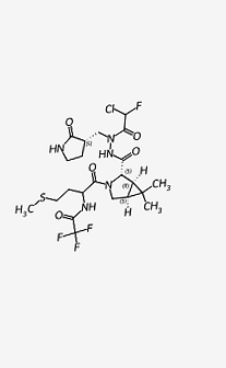 CSCCC(NC(=O)C(F)(F)F)C(=O)N1C[C@H]2[C@@H]([C@H]1C(=O)NN(C[C@@H]1CCNC1=O)C(=O)C(F)Cl)C2(C)C